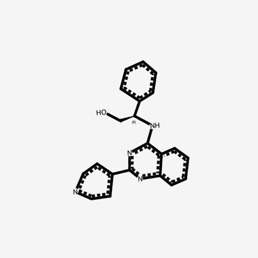 OC[C@H](Nc1nc(-c2ccncc2)nc2ccccc12)c1ccccc1